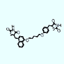 O=C1NC(=O)C(Cc2ccc(OCCCCCOc3ccc(CC4SC(=O)NC4=O)c4ccccc34)cc2)S1